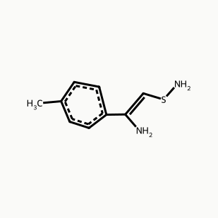 Cc1ccc(/C(N)=C/SN)cc1